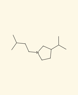 CC(C)CCN1CCC(C(C)C)C1